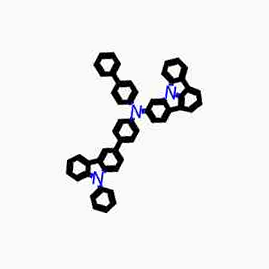 c1ccc(-c2ccc(N(c3ccc(-c4ccc5c(c4)c4ccccc4n5-c4ccccc4)cc3)c3ccc4c5cccc6c7ccccc7n(c4c3)c65)cc2)cc1